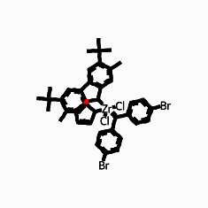 Cc1cc2c(cc1C(C)(C)C)-c1cc(C(C)(C)C)c(C)cc1[CH]2[Zr]([Cl])([Cl])(=[C](c1ccc(Br)cc1)c1ccc(Br)cc1)[CH]1C=CC=C1